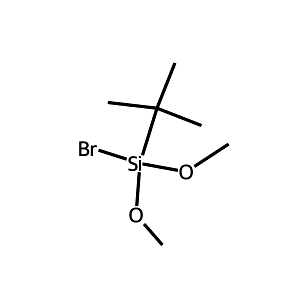 CO[Si](Br)(OC)C(C)(C)C